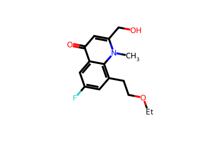 CCOCCc1cc(F)cc2c(=O)cc(CO)n(C)c12